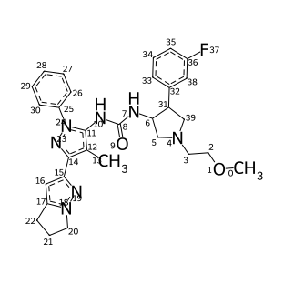 COCCN1CC(NC(=O)Nc2c(C)c(-c3cc4n(n3)CCC4)nn2-c2ccccc2)C(c2cccc(F)c2)C1